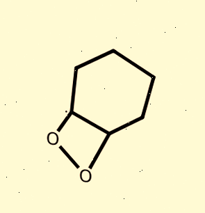 C1CCC2OO[C]2C1